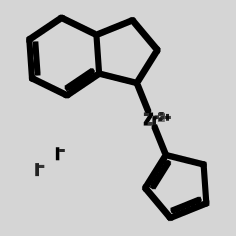 C1=CC[C]([Zr+2][CH]2CCC3CC=CC=C32)=C1.[I-].[I-]